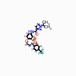 CC(C)n1ncc(C(=O)Nc2ccc3c(c2)S(=O)(=O)N(c2ccc(C(F)(F)F)cc2)CCO3)n1